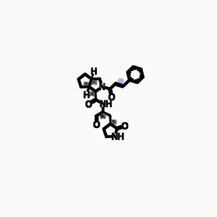 O=C[C@H](C[C@@H]1CCNC1=O)NC(=O)[C@H]1[C@@H]2CCC[C@H]2CN1C(=O)/C=C/c1ccccc1